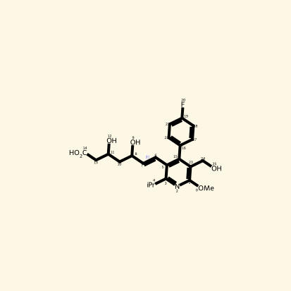 COc1nc(C(C)C)c(/C=C/C(O)CC(O)CC(=O)O)c(-c2ccc(F)cc2)c1CO